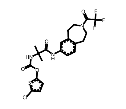 CC(C)(NC(=O)Oc1ccc(Cl)s1)C(=O)Nc1ccc2c(c1)CCN(C(=O)C(F)(F)F)CC2